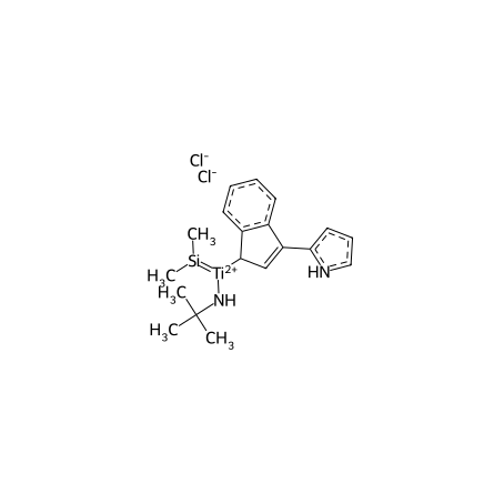 C[Si](C)=[Ti+2]([NH]C(C)(C)C)[CH]1C=C(c2ccc[nH]2)c2ccccc21.[Cl-].[Cl-]